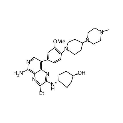 CCc1nc2c(N)ncc(-c3ccc(N4CCC(N5CCN(C)CC5)CC4)c(OC)c3)c2nc1N[C@H]1CC[C@H](O)CC1